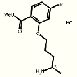 COC(=O)c1ccc(Br)cc1OCCC[C@@H](C)N.Cl